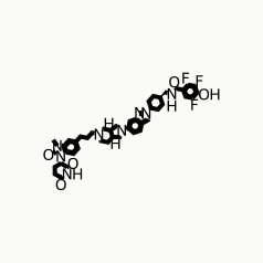 Cn1c(=O)n(C2CCC(=O)NC2=O)c2ccc(CCCN3CC[C@@H]4CN(c5ccc6cn([C@H]7CC[C@H](CNC(=O)c8cc(F)c(O)c(F)c8F)CC7)nc6c5)C[C@H]4C3)cc21